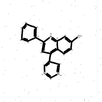 Clc1ccc2c(-c3cncnc3)cc(-c3ccccc3)nc2c1